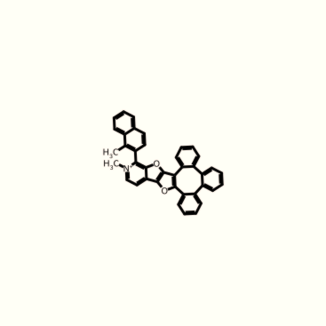 Cc1c(-c2c3oc4c5c(oc4c3cc[n+]2C)-c2ccccc2-c2ccccc2-c2ccccc2-5)ccc2ccccc12